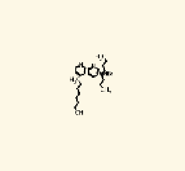 Br.Br.CCCCCCCC.CCCCCCCC.c1ccncc1.c1ccncc1